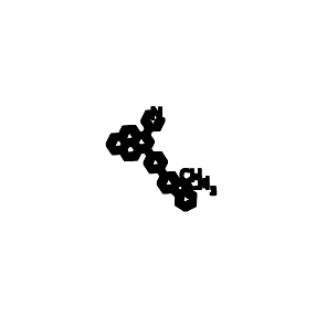 CC1(C)c2ccccc2-c2ccc(-c3ccc(-c4cc(-c5ccncc5)c5ccc6cccc7ccc4c5c67)cc3)cc21